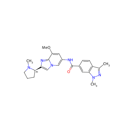 COc1cc(NC(=O)c2ccc3c(C)nn(C)c3c2)cn2cc([C@H]3CCCN3C)nc12